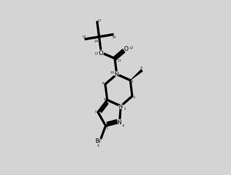 C[C@H]1Cn2nc(Br)cc2CN1C(=O)OC(C)(C)C